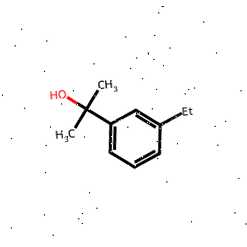 [CH2]Cc1cccc(C(C)(C)O)c1